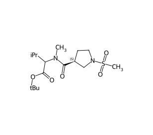 CC(C)C(C(=O)OC(C)(C)C)N(C)C(=O)[C@H]1CCN(S(C)(=O)=O)C1